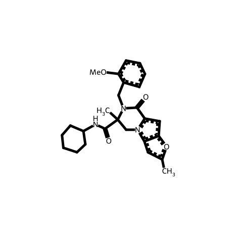 COc1ccccc1CN1C(=O)c2cc3oc(C)cc3n2CC1(C)C(=O)NC1CCCCC1